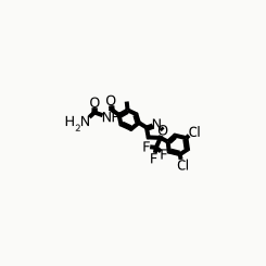 Cc1cc(C2=NOC(c3cc(Cl)cc(Cl)c3)(C(F)(F)F)C2)ccc1C(=O)NC(N)=O